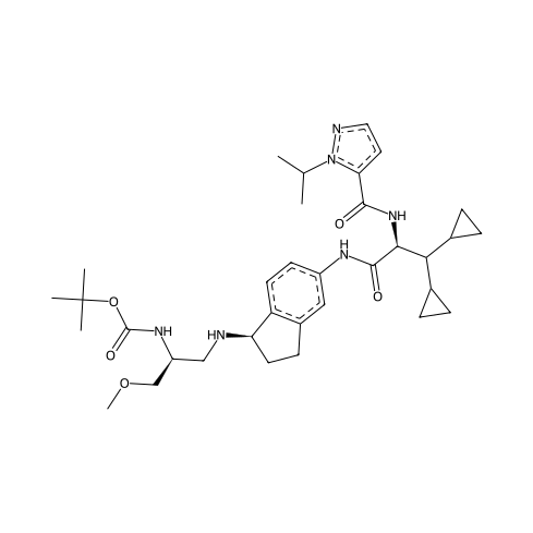 COC[C@H](CN[C@@H]1CCc2cc(NC(=O)[C@@H](NC(=O)c3ccnn3C(C)C)C(C3CC3)C3CC3)ccc21)NC(=O)OC(C)(C)C